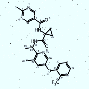 Cc1ncc(C(=O)NC2(C(=O)N[C@H](C)c3ncc(Oc4ccccc4C(F)(F)F)cc3F)CC2)cn1